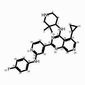 CC1(C)CNCCC1Nc1nc(-c2ccnc(Nc3ccc(F)cc3)c2)nc2cncc(C3CC3)c12